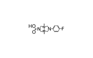 C[C@@]12CN(C(=O)O)C[C@]1(C)CN(c1ccc(F)cc1)C2